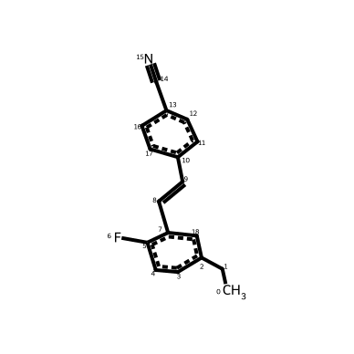 CCc1ccc(F)c(C=Cc2ccc(C#N)cc2)c1